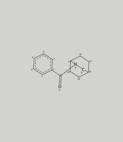 O=C(c1ccccc1)N1CC2CCC1CC2